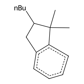 CCCCC1Cc2ccccc2C1(C)C